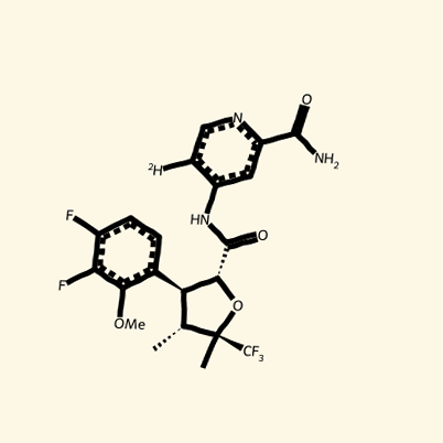 [2H]c1cnc(C(N)=O)cc1NC(=O)[C@@H]1O[C@@](C)(C(F)(F)F)[C@H](C)[C@H]1c1ccc(F)c(F)c1OC